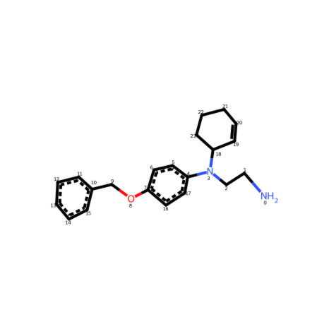 NCCN(c1ccc(OCc2ccccc2)cc1)C1C=CCCC1